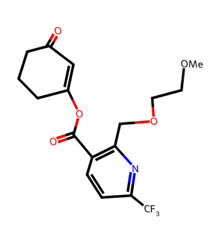 COCCOCc1nc(C(F)(F)F)ccc1C(=O)OC1=CC(=O)CCC1